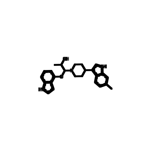 Cc1ccc2c(C3CCN(C(Oc4cccc5[nH]ccc45)C(C)O)CC3)c[nH]c2c1